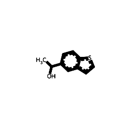 CC(O)c1ccc2sccc2c1